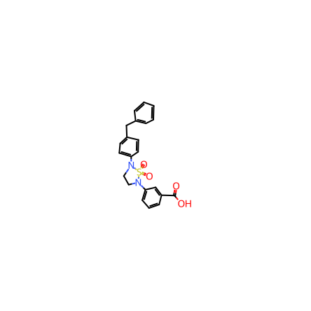 O=C(O)c1cccc(N2CCN(c3ccc(Cc4ccccc4)cc3)S2(=O)=O)c1